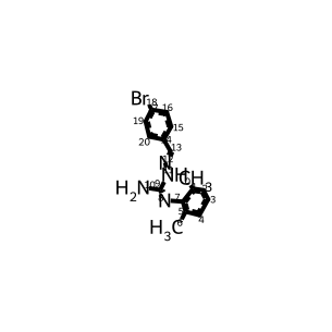 Cc1cccc(C)c1N=C(N)NN=Cc1ccc(Br)cc1